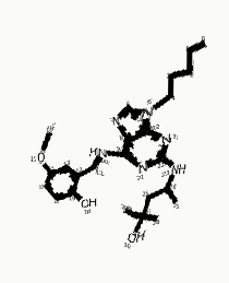 CCCCCn1cnc2c(NCc3cc(OC)ccc3O)nc(NC(C)CC(C)(C)O)nc21